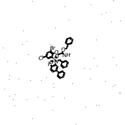 N=C(COc1c(Br)cc(Cl)cc1S(=O)(=O)N(Cc1ccccc1)c1cc(-c2ccccc2)ccc1F)OCc1ccccc1